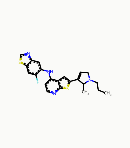 CCCN1CC=C(c2cc3c(Nc4cc5ncsc5cc4F)ccnc3s2)C1C